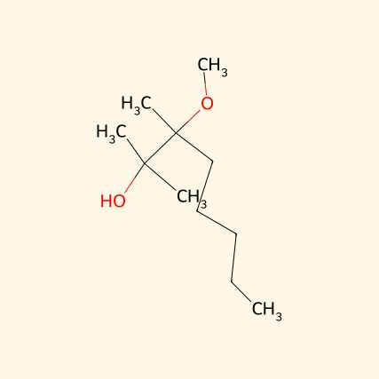 CCCCCC(C)(OC)C(C)(C)O